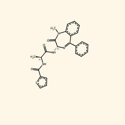 C[C@H](NC(=O)c1cccs1)C(=O)N[C@H]1N=C(c2ccccc2)c2ccccc2N(C)C1=O